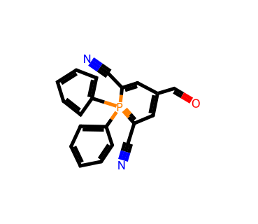 N#CC1=CC(C=O)=CC(C#N)=P1(c1ccccc1)c1ccccc1